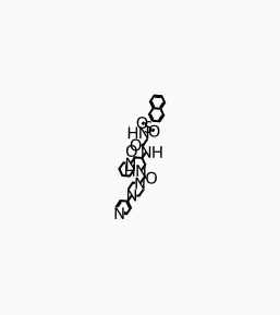 O=C(CNS(=O)(=O)c1ccc2ccccc2c1)NC(CNC(=O)N1CCN(c2ccncc2)CC1)C(=O)N1CCCCC1